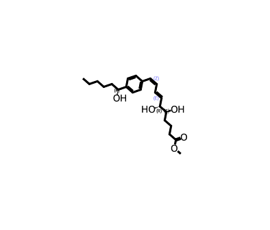 CCCCC[C@@H](O)c1ccc(/C=C\C=C\[C@@H](O)[C@@H](O)CCCC(=O)OC)cc1